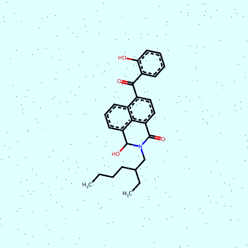 CCCCC(CC)CN1C(=O)c2ccc(C(=O)c3ccccc3O)c3cccc(c23)C1O